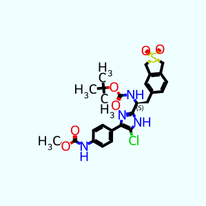 COC(=O)Nc1ccc(-c2nc([C@H](Cc3ccc4c(c3)CS(=O)(=O)C4)NC(=O)OC(C)(C)C)[nH]c2Cl)cc1